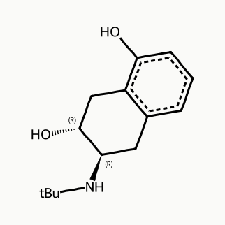 CC(C)(C)N[C@@H]1Cc2cccc(O)c2C[C@H]1O